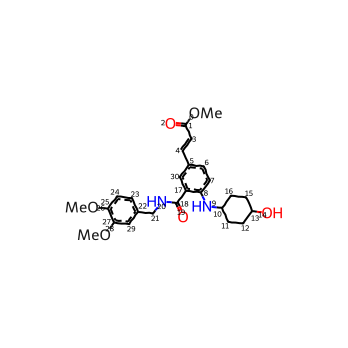 COC(=O)/C=C/c1ccc(NC2CCC(O)CC2)c(C(=O)NCc2ccc(OC)c(OC)c2)c1